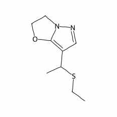 CCSC(C)c1cnn2c1OCC2